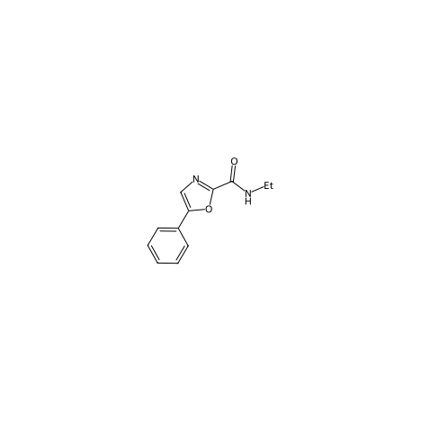 CCNC(=O)c1ncc(-c2ccccc2)o1